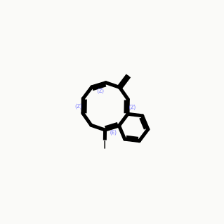 C=C1/C=C\C=C/C/C(I)=c2/cccc/c2=C/1